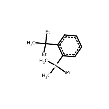 CCC(C)(CC)c1ccccc1S(C)(C)C(C)C